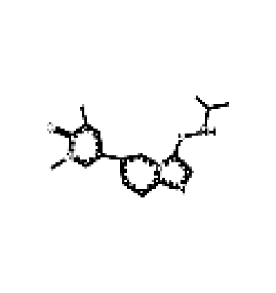 Cc1cc(-c2ccc3ncc(SNC(C)C)n3c2)cn(C)c1=O